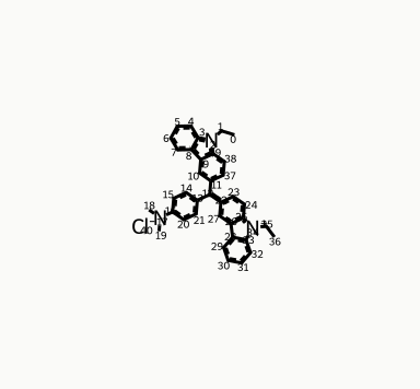 CCn1c2ccccc2c2cc(C(c3ccc(N(C)C)cc3)=c3ccc4c(c3)-c3ccccc3[N+]=4CC)ccc21.[Cl-]